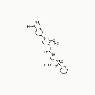 Cl.N=C(N)c1ccc(N2CCN(CC(=O)NC[C@H](NS(=O)(=O)c3ccccc3)C(=O)O)C(=O)C2)cc1